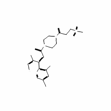 C=C(/C=C(\C(Cl)=C/N)c1ncc(C)cc1C)N1CCN(C(=O)CCS(C)(=O)=O)CC1